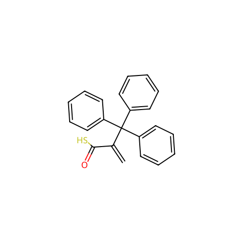 C=C(C(=O)S)C(c1ccccc1)(c1ccccc1)c1ccccc1